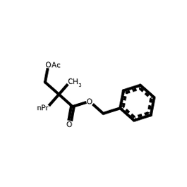 CCCC(C)(COC(C)=O)C(=O)OCc1ccccc1